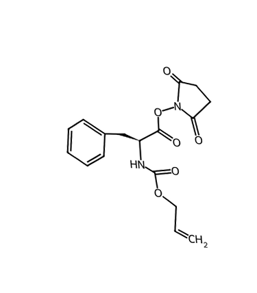 C=CCOC(=O)N[C@@H](Cc1ccccc1)C(=O)ON1C(=O)CCC1=O